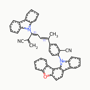 C=C(C#N)/C(=C\C=C(/C)c1ccc(-n2c3ccccc3c3ccc4oc5ccccc5c4c32)c(C#N)c1)n1c2ccccc2c2ccccc21